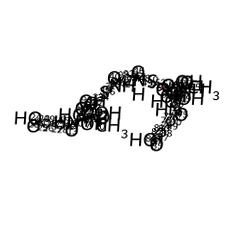 CC(=O)N[C@H]1[C@H]([C@H](O)[C@H](O)CNC(=O)c2ccc(-c3ccc(C(=O)O)cc3)cc2)O[C@@](OCCCSCCNC(=O)c2ccc(C(=O)NCCSCCCO[C@]3(C(=O)O)C[C@H](O)[C@@H](NC(C)=O)[C@H]([C@H](O)[C@H](O)CNC(=O)c4ccc(-c5ccc(C(=O)O)cc5)cc4)O3)cc2)(C(=O)O)C[C@@H]1O